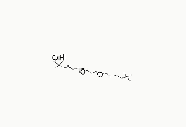 CC(C)(C)CCCCOCCCOCCCCC(C)(C)CO